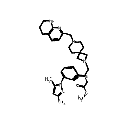 COC(=O)C[C@H](CN1CC2(CCN(Cc3ccc4c(n3)NCCC4)CC2)C1)c1cccc(-n2nc(C)cc2C)c1